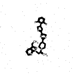 C=C(Cn1nc(CC)c2cccnc21)N1CCC(c2nc(C3=NCC(c4c(F)cccc4F)C3)cs2)CC1